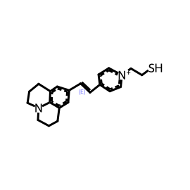 SCC[n+]1ccc(/C=C/c2cc3c4c(c2)CCCN4CCC3)cc1